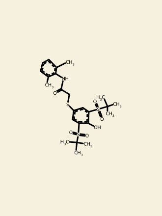 Cc1cccc(C)c1NC(=O)CSc1cc(S(=O)(=O)C(C)(C)C)c(O)c(S(=O)(=O)C(C)(C)C)c1